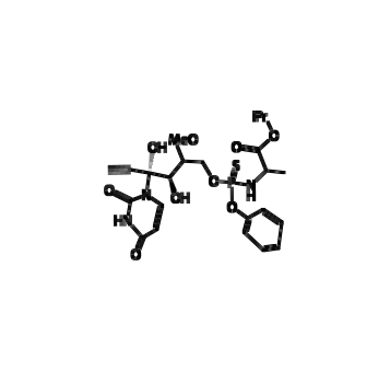 C#C[C@@](O)([C@H](O)C(COP(=S)(NC(C)C(=O)OC(C)C)Oc1ccccc1)OC)n1ccc(=O)[nH]c1=O